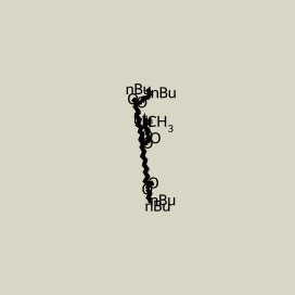 CCCCC(CCCC)CCOC(=O)CCCCCCCCCC(CCCCCCCCCC(=O)OCCC(CCCC)CCCC)OC(=O)OCCN(C)CC